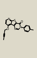 CC#CCOc1ccnc2sc3c(=O)n(-c4ccc(C)cc4)cnc3c12